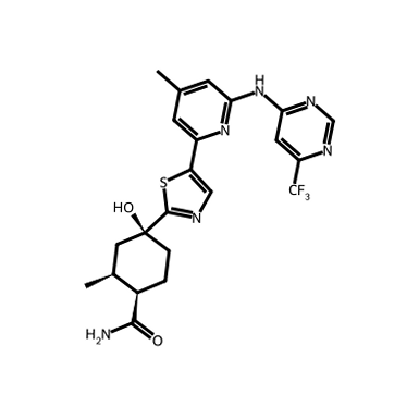 Cc1cc(Nc2cc(C(F)(F)F)ncn2)nc(-c2cnc([C@]3(O)CC[C@@H](C(N)=O)[C@@H](C)C3)s2)c1